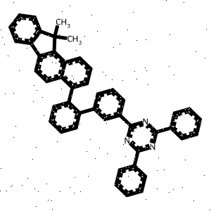 CC1(C)c2ccccc2-c2ccc3c(-c4ccccc4-c4cccc(-c5nc(-c6ccccc6)nc(-c6ccccc6)n5)c4)cccc3c21